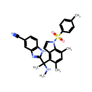 CNC(C)(c1nc2cc(C#N)ccc2[nH]1)c1c(C)cc(C)c2c1ccn2S(=O)(=O)c1ccc(C)cc1